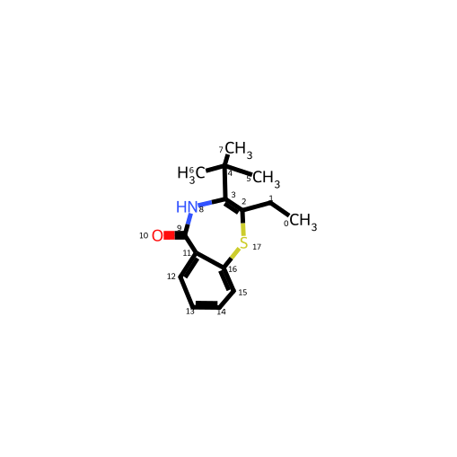 CCC1=C(C(C)(C)C)NC(=O)c2ccccc2S1